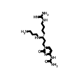 N=C(N)NCCCC[C@H](CCn1ccc(NC(N)=O)nc1=O)NCCCN